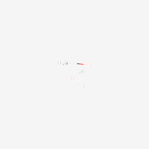 O.O=C(O)O.[AlH3].[AlH3].[LiH]